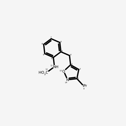 CC(C)c1cc(Cc2ccccc2NC(=O)O)on1